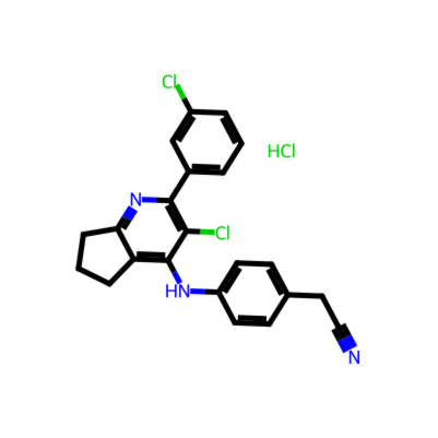 Cl.N#CCc1ccc(Nc2c(Cl)c(-c3cccc(Cl)c3)nc3c2CCC3)cc1